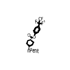 CCCCC[C@H]1CC[C@H](C(=O)Oc2ccc(C(F)(F)C(F)(F)F)cc2)CC1